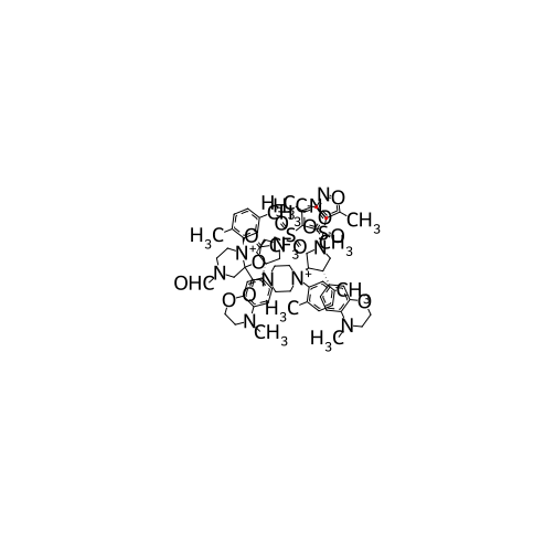 Cc1ccc(C)c([N+]2([C@H]3CN(S(=O)(=O)c4c(C)noc4C)C[C@@H]3c3ccc4c(c3)OCCN4C)CCN(C(=O)C3(OC(=O)C(F)(F)F)CN(C=O)CC[N@+]3(c3cc(C)ccc3C)[C@H]3CN(S(=O)(=O)c4c(C)noc4C)C[C@@H]3c3ccc4c(c3)OCCN4C)CC2)c1